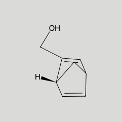 OCC1=CC2C=C[C@H]1C2